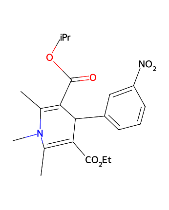 CCOC(=O)C1=C(C)N(C)C(C)=C(C(=O)OC(C)C)C1c1cccc([N+](=O)[O-])c1